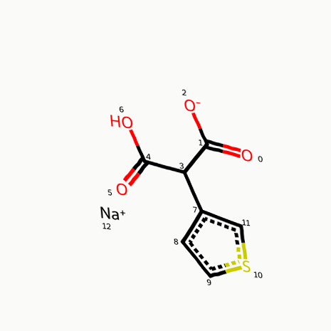 O=C([O-])C(C(=O)O)c1ccsc1.[Na+]